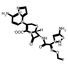 NC1=CN(/C(=N\OCF)C(=O)N[C@@H]2C(=O)N3C(C(=O)[O-])=C(n4ccc(N)[n+]5nccc4-5)CS[C@H]23)NS1